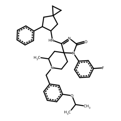 CC(C)Oc1cccc(CN2CCC3(CC2C)C(NC2CC4(CC4)CC2c2ccccc2)=NC(=O)N3c2cccc(F)c2)c1